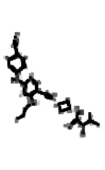 CCCNc1nc(Nc2ccc(C#N)cc2)ncc1C#C[C@H]1C[C@@H](NC(=O)[C@H](C)NC)C1